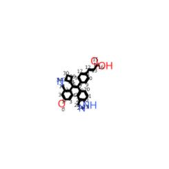 COc1ccc(C(=C(c2ccc(C=CC(=O)O)cc2)c2ccc3[nH]ncc3c2)C2CCC2)c(C#N)c1